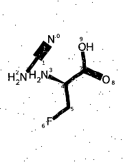 N#CN.N[C@H](CF)C(=O)O